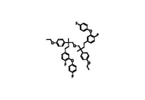 CCOc1ccc(C(C)(CCc2ccc(F)c(Oc3ccc(F)cc3)c2)COCC(C)(CCc2ccc(F)c(Oc3ccc(F)cc3)c2)c2ccc(OCC)cc2)cc1